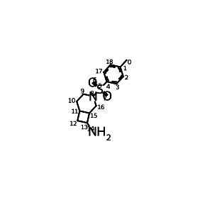 Cc1ccc(S(=O)(=O)N2CCC3CC(N)C3C2)cc1